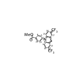 COC(=O)c1ccc(N2c3ccc(C(F)(F)F)cc3Sc3cc(C(F)(F)F)ccc32)cc1